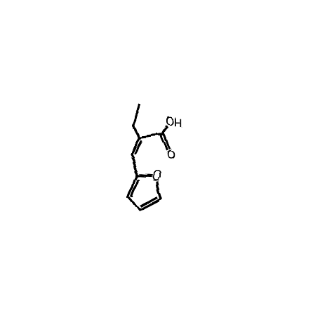 CCC(=Cc1ccco1)C(=O)O